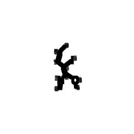 C=N/C(OC)=C(I)\C=C/C